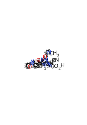 CN1CCC[C@H]1COc1nc(N2CCN(C(=O)O)[C@@H](CC#N)C2)c2[nH]cc(C(O)c3c(C(F)(F)F)ccc4c3cnn4C3CCCCO3)c2n1